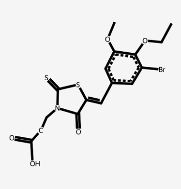 CCOc1c(Br)cc(/C=C2\SC(=S)N(CCC(=O)O)C2=O)cc1OC